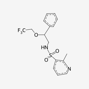 Cc1ncccc1S(=O)(=O)NCC(OCC(F)(F)F)c1ccccc1